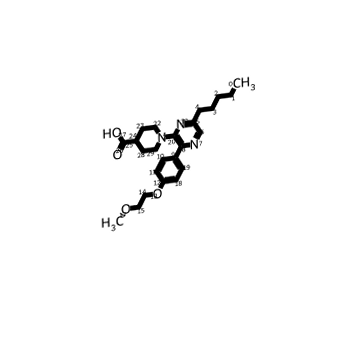 CCCCCc1cnc(-c2ccc(OCCOC)cc2)c(N2CCC(C(=O)O)CC2)n1